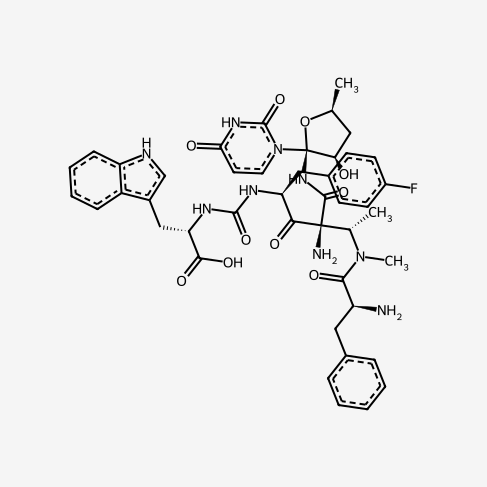 C[C@H](N(C)C(=O)[C@@H](N)Cc1ccccc1)[C@@](N)(C(=O)N[C@@]1(n2ccc(=O)[nH]c2=O)O[C@@H](C)C[C@H]1O)C(=O)[C@H](Cc1ccc(F)cc1)NC(=O)N[C@@H](Cc1c[nH]c2ccccc12)C(=O)O